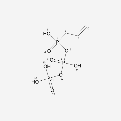 C=CCP(=O)(O)OP(=O)(O)OP(=O)(O)O